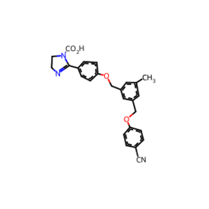 Cc1cc(COc2ccc(C#N)cc2)cc(COc2ccc(C3=NCCN3C(=O)O)cc2)c1